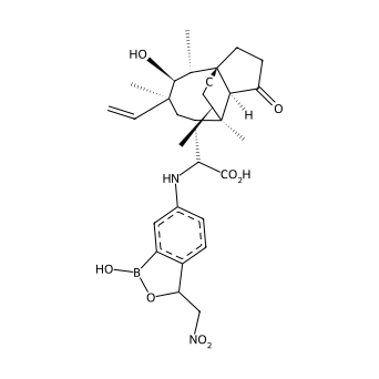 C=C[C@]1(C)C[C@@H](C(Nc2ccc3c(c2)B(O)OC3C[N+](=O)[O-])C(=O)O)[C@@]2(C)[C@H](C)CC[C@]3(CCC(=O)[C@H]32)[C@@H](C)[C@@H]1O